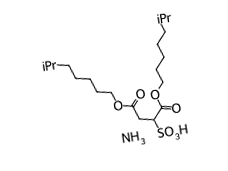 CC(C)CCCCCOC(=O)CC(C(=O)OCCCCCC(C)C)S(=O)(=O)O.N